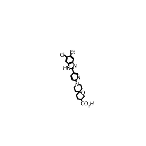 CCc1cc2nc(-c3ccc(N4CCC5(CCC(C(=O)O)CO5)CC4)nc3)[nH]c2cc1Cl